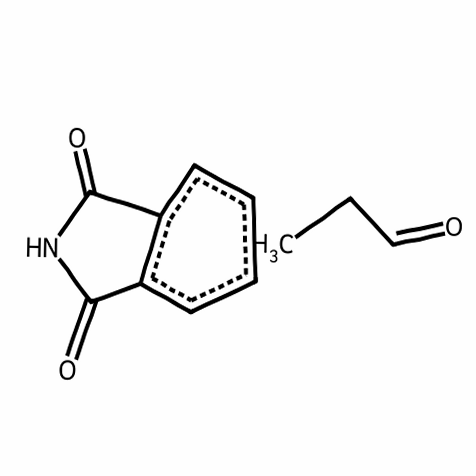 CCC=O.O=C1NC(=O)c2ccccc21